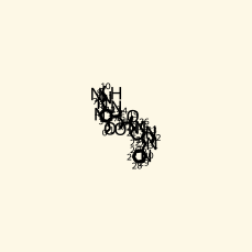 COc1cnc(-n2cnc(C)n2)c2[nH]cc(C(=O)C(=O)N3CCc4c(-c5ccccn5)ncnc4N3C)c12